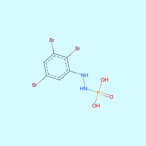 O=P(O)(O)NNc1cc(Br)cc(Br)c1Br